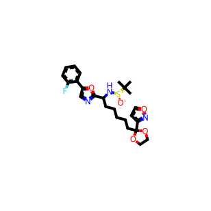 CC(C)(C)[S@@+]([O-])NC(CCCCCC1(c2ccon2)OCCO1)c1ncc(-c2ccccc2F)o1